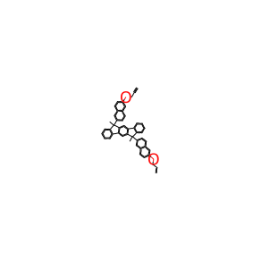 C#CCOc1ccc2cc(C3(C)c4ccccc4-c4cc5c(cc43)-c3ccccc3C5(C)c3ccc4cc(OCC=C)ccc4c3)ccc2c1